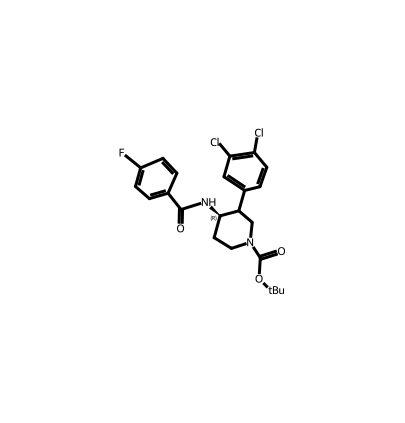 CC(C)(C)OC(=O)N1CC[C@@H](NC(=O)c2ccc(F)cc2)C(c2ccc(Cl)c(Cl)c2)C1